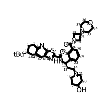 CC(C)(C)[C@H]1CCc2nc3sc(C(=O)N[C@H](CCN4CCC(O)CC4)c4cccc(C(=O)N5CC(N6CCOCC6)C5)c4)nc3cc2C1